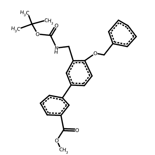 COC(=O)c1cccc(-c2ccc(OCc3ccccc3)c(CNC(=O)OC(C)(C)C)c2)c1